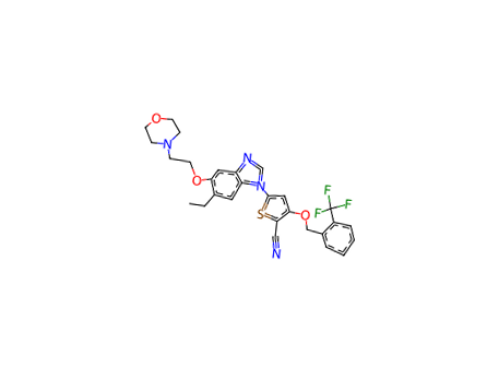 CCc1cc2c(cc1OCCN1CCOCC1)ncn2-c1cc(OCc2ccccc2C(F)(F)F)c(C#N)s1